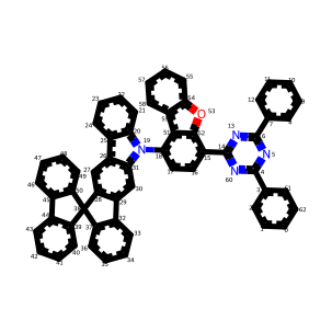 c1ccc(-c2nc(-c3ccccc3)nc(-c3ccc(-n4c5ccccc5c5cc6c(cc54)-c4ccccc4C64c5ccccc5-c5ccccc54)c4c3oc3ccccc34)n2)cc1